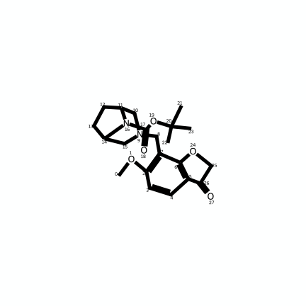 COc1ccc2c(c1CN1CC3CCC(C1)N3C(=O)OC(C)(C)C)OCC2=O